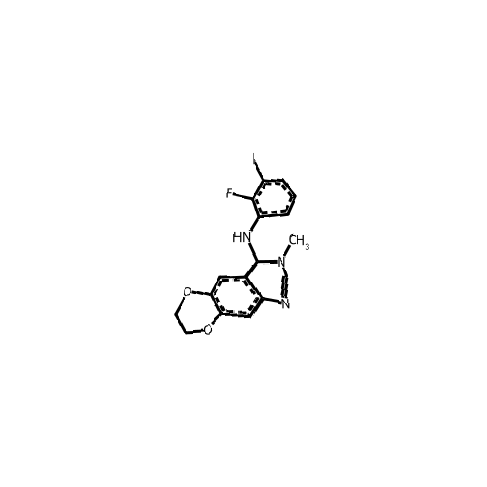 CN1C=Nc2cc3c(cc2C1Nc1cccc(I)c1F)OCCO3